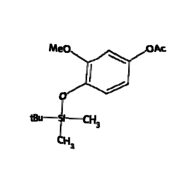 COc1cc(OC(C)=O)ccc1O[Si](C)(C)C(C)(C)C